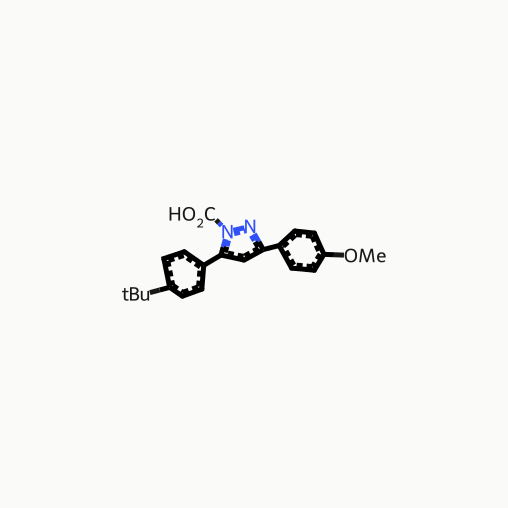 COc1ccc(-c2cc(-c3ccc(C(C)(C)C)cc3)n(C(=O)O)n2)cc1